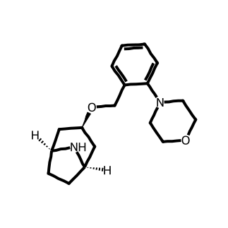 c1ccc(N2CCOCC2)c(CO[C@H]2C[C@H]3CC[C@@H](C2)N3)c1